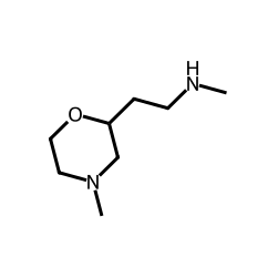 CNCCC1CN(C)CCO1